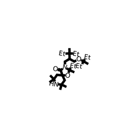 CCC(C)(CC)OCC(CN1C(=O)C2(CC(C)(C)NC(C)(C)C2)OC1(C)CC)C(C)(CC)CC